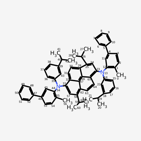 Cc1ccc(-c2ccccc2)cc1N(c1cccc(C(C)C)c1)c1cc(C(C)C)c2ccc3c(N(c4cccc(C(C)C)c4)c4cc(-c5ccccc5)ccc4C)cc(C(C)C)c4ccc1c2c43